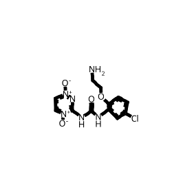 NCCOc1ccc(Cl)cc1NC(=O)Nc1n[n+]([O-])cc[n+]1[O-]